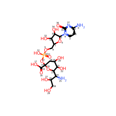 Nc1ccn(C2OC(COP(=O)(O)OC3(C(=O)O)CC(O)C(O)C(C(N)C(O)CO)O3)C(O)C2O)c(=O)n1